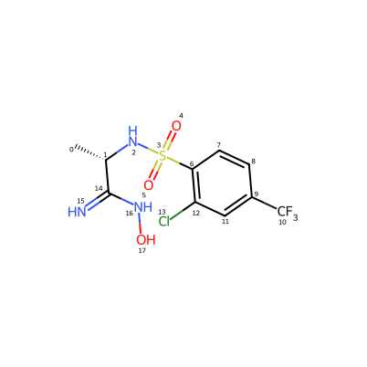 C[C@H](NS(=O)(=O)c1ccc(C(F)(F)F)cc1Cl)C(=N)NO